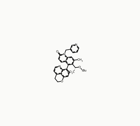 Cc1cc2c(ccc(=O)n2Cc2cccnc2)c(-c2ccc3c4c(ccnc24)CCO3)c1[C@H](OC(C)(C)C)C(=O)O